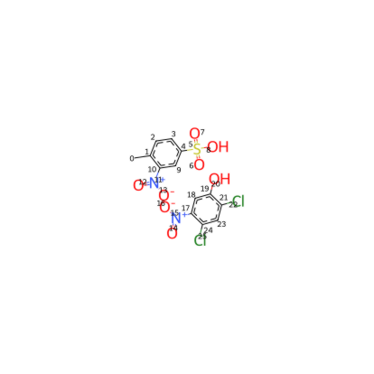 Cc1ccc(S(=O)(=O)O)cc1[N+](=O)[O-].O=[N+]([O-])c1cc(O)c(Cl)cc1Cl